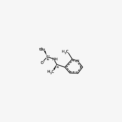 Cc1ncccc1[C@@H](C)N[S@@+]([O-])C(C)(C)C